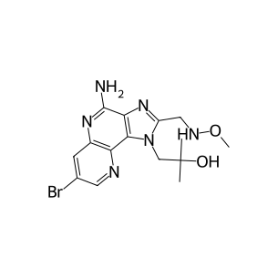 CONCc1nc2c(N)nc3cc(Br)cnc3c2n1CC(C)(C)O